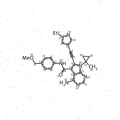 CCn1cc(C#Cc2c(C(=O)Nc3ccc(COC)cc3)c3c(N)ncnc3n2C2(C)CC2)cn1